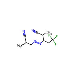 CC(C#N)CN=NC(CC(F)(F)F)C(C)C#N